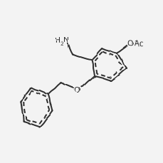 CC(=O)Oc1ccc(OCc2ccccc2)c(CN)c1